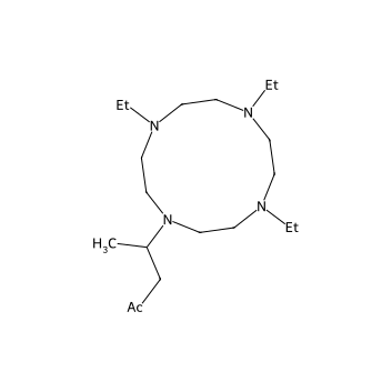 CCN1CCN(CC)CCN(C(C)CC(C)=O)CCN(CC)CC1